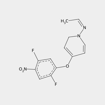 C/C=N\N1C=CC(Oc2cc(F)c([N+](=O)[O-])cc2F)=CC1